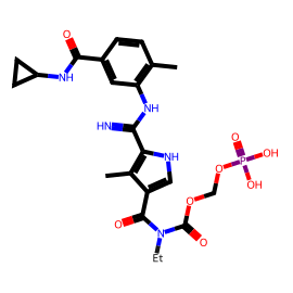 CCN(C(=O)OCOP(=O)(O)O)C(=O)c1c[nH]c(C(=N)Nc2cc(C(=O)NC3CC3)ccc2C)c1C